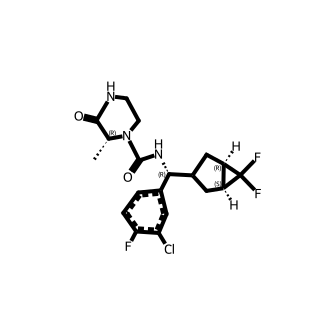 C[C@@H]1C(=O)NCCN1C(=O)N[C@@H](c1ccc(F)c(Cl)c1)C1C[C@@H]2[C@H](C1)C2(F)F